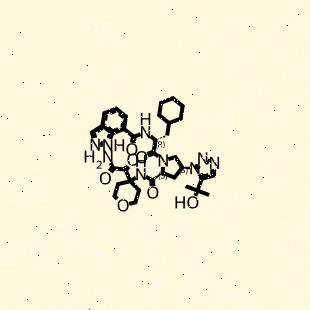 CC(C)(O)c1cnnn1[C@H]1C[C@@H](C(=O)NC2(C(=O)C(N)=O)CCOCC2)N(C(=O)[C@@H](CC2CCCCC2)NC(=O)c2cccc3cn[nH]c23)C1